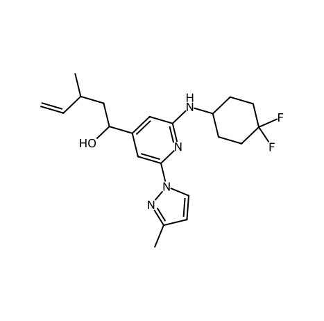 C=CC(C)CC(O)c1cc(NC2CCC(F)(F)CC2)nc(-n2ccc(C)n2)c1